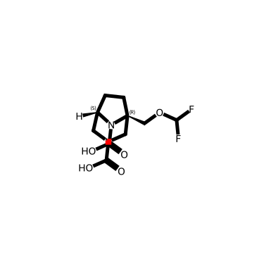 O=C(O)N1C[C@@H]2CC[C@](COC(F)F)(C1)N2C(=O)O